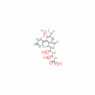 COCc1c(C(C)C)nc(C(C)C)c(C=C[C@@H](O)CC(O)CC(=O)O)c1-c1ccc(F)cc1